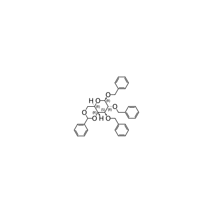 c1ccc(CO[C@@H]2O[C@@H]3COC(c4ccccc4)O[C@H]3[C@H](OCc3ccccc3)[C@H]2OCc2ccccc2)cc1